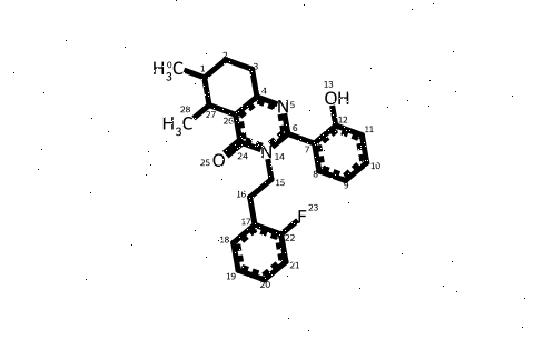 CC1CCc2nc(-c3ccccc3O)n(CCc3ccccc3F)c(=O)c2C1C